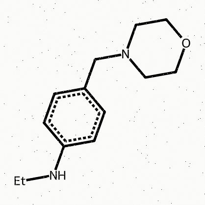 CCNc1ccc(CN2CCOCC2)cc1